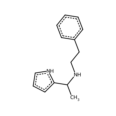 CC(NCCc1ccccc1)c1ccc[nH]1